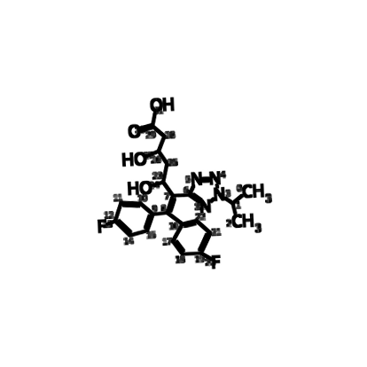 CC(C)n1nnc(C(=C(c2ccc(F)cc2)c2ccc(F)cc2)C(O)CC(O)CC(=O)O)n1